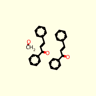 C=O.O=C(C=Cc1ccccc1)c1ccccc1.O=C(C=Cc1ccccc1)c1ccccc1